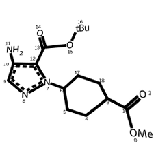 COC(=O)C1CCC(n2ncc(N)c2C(=O)OC(C)(C)C)CC1